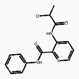 CC(Cl)C(=O)Nc1cccnc1C(=O)Nc1ccccc1